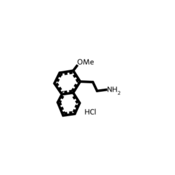 COc1ccc2ccccc2c1CCN.Cl